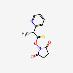 CC(C(=S)ON1C(=O)CCC1=O)c1ccccn1